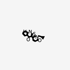 Nc1sc2c(ccc(=O)n2CC2CC2)c1C(=O)c1ccccc1